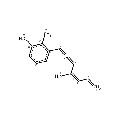 C=C/C=C(/N)C=C=Cc1cccc(C)c1C